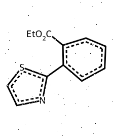 CCOC(=O)c1ccccc1-c1nccs1